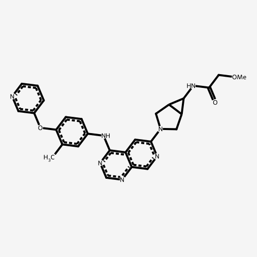 COCC(=O)NC1C2CN(c3cc4c(Nc5ccc(Oc6cccnc6)c(C)c5)ncnc4cn3)CC21